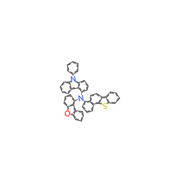 c1ccc(-n2c3ccccc3c3c(N(c4cccc5c4ccc4c6ccccc6sc54)c4cccc5oc6ccccc6c45)cccc32)cc1